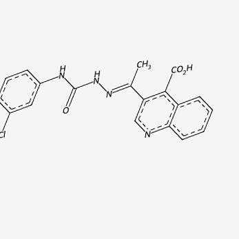 CC(=NNC(=O)Nc1cccc(Cl)c1)c1cnc2ccccc2c1C(=O)O